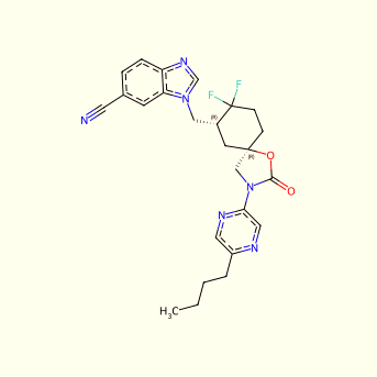 CCCCc1cnc(N2C[C@]3(CCC(F)(F)[C@@H](Cn4cnc5ccc(C#N)cc54)C3)OC2=O)cn1